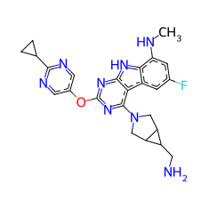 CNc1cc(F)cc2c1[nH]c1nc(Oc3cnc(C4CC4)nc3)nc(N3CC4C(CN)C4C3)c12